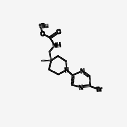 CC1(CNC(=O)OC(C)(C)C)CCN(c2cnc(Br)cn2)CC1